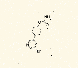 NC(=O)OC1CCN(c2cncc(Br)c2)CC1